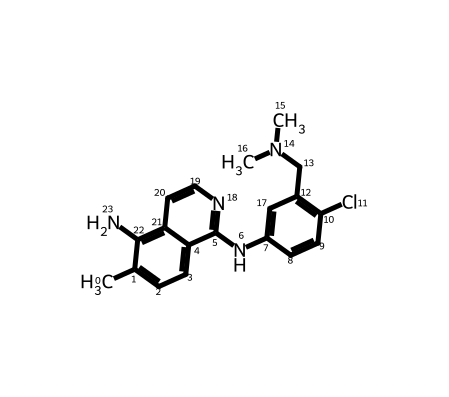 Cc1ccc2c(Nc3ccc(Cl)c(CN(C)C)c3)nccc2c1N